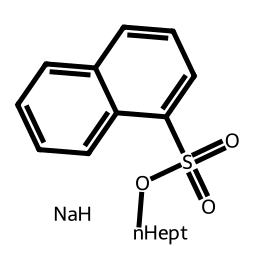 CCCCCCCOS(=O)(=O)c1cccc2ccccc12.[NaH]